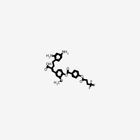 COc1cc(/C=C(\CCc2ccc(N)cc2N)C(=O)O)ccc1OC(=O)c1ccc(OC(=O)CCC(F)(F)F)cc1